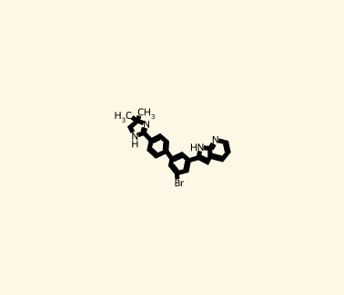 CC1(C)CNC(c2ccc(-c3cc(Br)cc(-c4cc5cccnc5[nH]4)c3)cc2)=N1